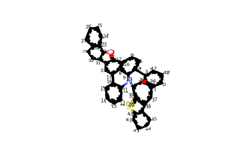 c1ccc(-c2ccccc2N(c2ccccc2-c2ccc3oc4c5ccccc5ccc4c3c2)c2cccc3c2sc2ccccc23)cc1